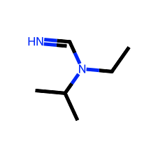 CCN(C=N)C(C)C